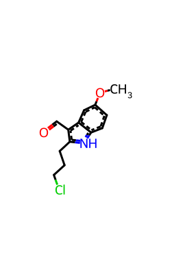 COc1ccc2[nH]c(CCCCl)c(C=O)c2c1